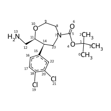 CC(C)(C)OC(=O)N1CCO[C@H](CN)[C@H](c2ccc(Cl)c(Cl)c2)C1